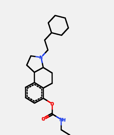 CCNC(=O)Oc1cccc2c1CCC1C2CCN1CCC1CCCCC1